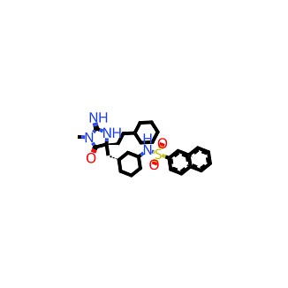 CN1C(=N)N[C@](CCC2CCCCC2)(C[C@H]2CCCC(NS(=O)(=O)c3ccc4ccccc4c3)C2)C1=O